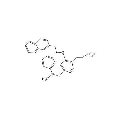 CN(Cc1ccc(CCC(=O)O)c(OCCc2ccc3ccccc3c2)c1)c1ccccc1